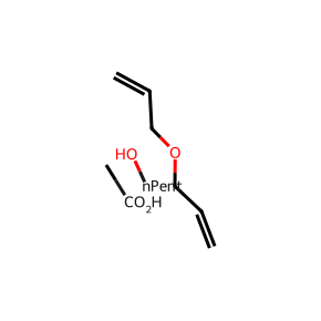 C=CCOCC=C.CC(=O)O.CCCCCO